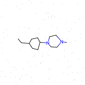 CCC1CCC(N2CCN(C)CC2)CC1